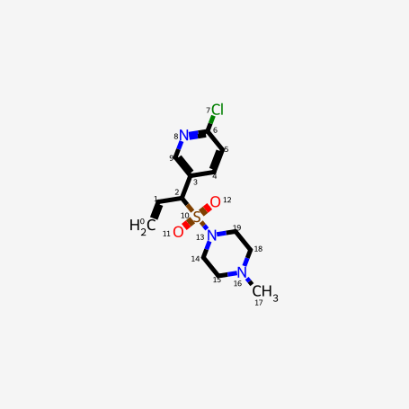 C=CC(c1ccc(Cl)nc1)S(=O)(=O)N1CCN(C)CC1